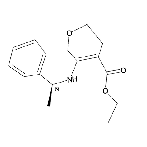 CCOC(=O)C1=C(N[C@@H](C)c2ccccc2)COCC1